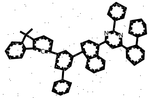 CC1(C)c2ccccc2-c2cc(-c3cc(-c4ccccc4)cc(-c4ccc(-c5cc(-c6ccccc6-c6ccccc6)nc(-c6ccccc6)n5)c5ccccc45)c3)ccc21